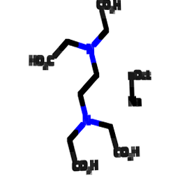 CCCCCCC[CH2][Na].O=C(O)CN(CCN(CC(=O)O)CC(=O)O)CC(=O)O